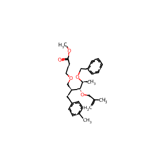 C=C(C)CO[C@H]([C@H](COCCC(=O)OC)Cc1ccc(C)cc1)[C@H](C)OCc1ccccc1